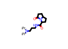 CC(C)N(CCCNC(=O)C1CCC2CCC(=O)N21)C(C)C